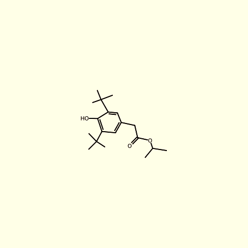 CC(C)OC(=O)Cc1cc(C(C)(C)C)c(O)c(C(C)(C)C)c1